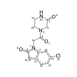 O=C1CN(C(=O)Cn2c(=O)sc3ccc(Cl)cc32)CCN1